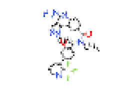 CN(C(=O)c1ccc2nc(N)c3cnn(C)c3c2c1)[C@@H]1COc2cc(-c3cccnc3C(F)(F)F)ccc21